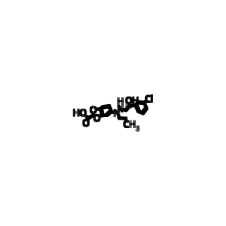 CCCN(NC[C@H](O)c1cccc(Cl)c1)c1ccc2c(c1)OC(C(=O)O)O2